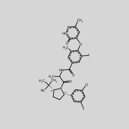 Cc1cc(Oc2c(C)cc(C(=O)NC(C)C(=O)N3[C@H](c4cc(F)cc(Cl)c4)CC[C@@H]3C(C)(C)C#N)cc2F)c(=O)[nH]n1